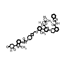 Cc1c(OCC2CC3(CCN(CC(=O)Nc4cccc5c(C6CCC(=O)NC6=O)nn(C)c45)CC3)C2)cccc1-c1ccc(N2CCc3cccc(C(=O)Nc4nc5ccccc5s4)c3C2)nc1C(=O)OC(C)(C)C